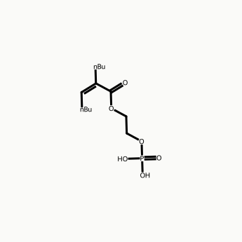 CCCCC=C(CCCC)C(=O)OCCOP(=O)(O)O